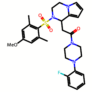 COc1cc(C)c(S(=O)(=O)N2CCn3cccc3C2CC(=O)N2CCN(c3ccccc3F)CC2)c(C)c1